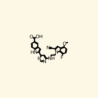 COc1ccc(F)c2c1cc(C#N)n2CCNc1cc(-c2cc3cc(C(=O)O)ccc3[nH]2)ncn1